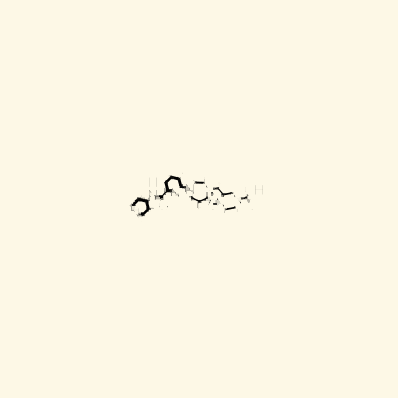 CC(C)N1CCN(C)C(CN2CCCN(c3cccc(C(=O)Nc4ccncc4)n3)CC2)C1